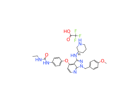 CCNC(=O)Nc1ccc(Oc2ccnc3c2c(N[C@@H]2CCCNC2)nn3Cc2ccc(OC)cc2)cc1.O=C(O)C(F)(F)F